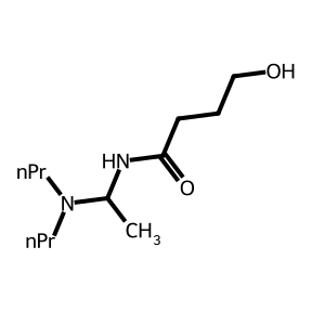 [CH2]CCN(CC[CH2])C(C)NC(=O)CCCO